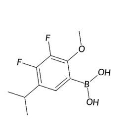 COc1c(B(O)O)cc(C(C)C)c(F)c1F